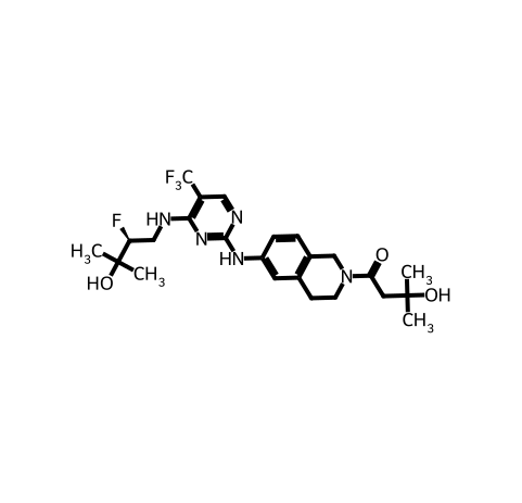 CC(C)(O)CC(=O)N1CCc2cc(Nc3ncc(C(F)(F)F)c(NC[C@H](F)C(C)(C)O)n3)ccc2C1